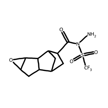 NN(C(=O)C1CC2CC1C1C2CC2OC21)S(=O)(=O)C(F)(F)F